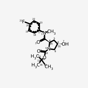 CN(C(=O)[C@H]1C[C@H](O)CN1C(=O)OC(C)(C)C)c1ccc(F)cc1